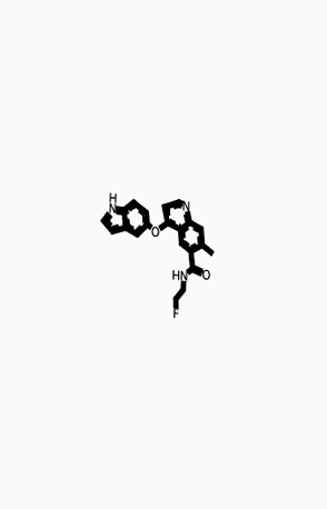 Cc1cc2nccc(Oc3ccc4[nH]ccc4c3)c2cc1C(=O)NCCF